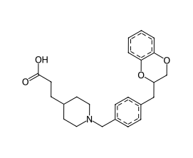 O=C(O)CCC1CCN(Cc2ccc(CC3COc4ccccc4O3)cc2)CC1